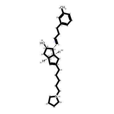 Cc1cccc(CC/C=C/[C@@H]2[C@H]3CC(CCCCCN4CCCC4)=C[C@H]3C[C@H]2O)c1